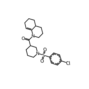 O=C(C1CCCN(S(=O)(=O)c2ccc(Cl)cc2)C1)N1CCCC2CCCC=C21